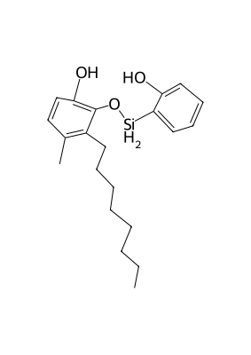 CCCCCCCCc1c(C)ccc(O)c1O[SiH2]c1ccccc1O